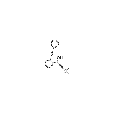 C[Si](C)(C)C#CC(O)c1ccccc1C#Cc1ccccc1